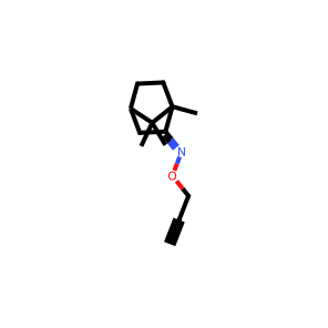 C#CCO/N=C1\CC2CCC1(C)C2(C)C